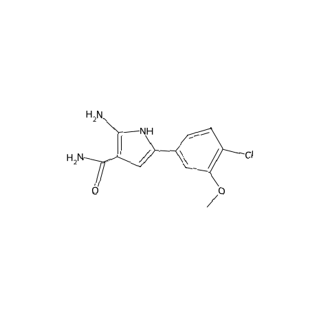 COc1cc(-c2cc(C(N)=O)c(N)[nH]2)ccc1Cl